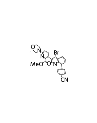 COC(=O)c1nc(N2C[C@@H](C)O[C@@H](C)C2)ccc1-c1cnc2c(-c3ccc(C#N)cc3)cccc2c1Br